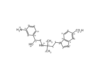 CC(C)(CCn1cnc2nc(C(=O)O)ccc21)NCC(O)c1cccc(N)c1